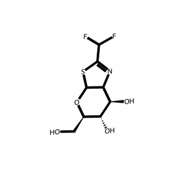 OC[C@H]1OC2SC(C(F)F)=NC2[C@@H](O)[C@@H]1O